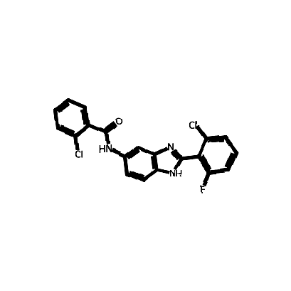 O=C(Nc1ccc2[nH]c(-c3c(F)cccc3Cl)nc2c1)c1ccccc1Cl